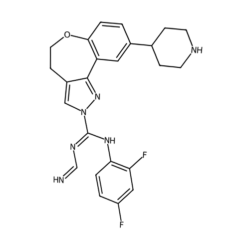 N=C/N=C(\Nc1ccc(F)cc1F)n1cc2c(n1)-c1cc(C3CCNCC3)ccc1OCC2